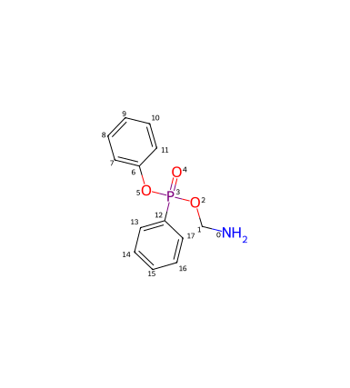 NCOP(=O)(Oc1ccccc1)c1ccccc1